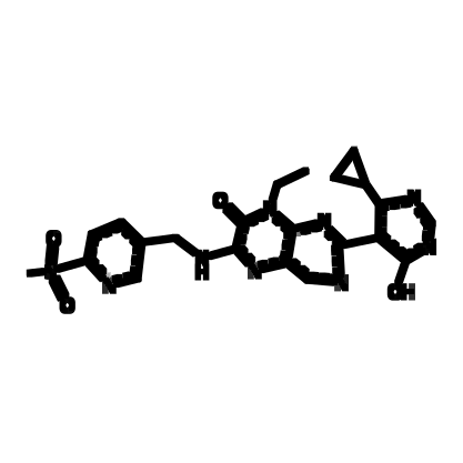 CCn1c(=O)c(NCc2ccc(S(C)(=O)=O)nc2)nc2cnc(-c3c(O)ncnc3C3CC3)nc21